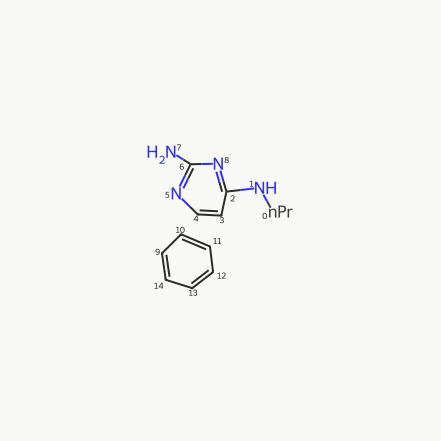 CCCNc1ccnc(N)n1.c1ccccc1